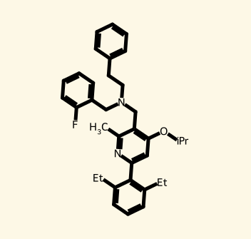 CCc1cccc(CC)c1-c1cc(OC(C)C)c(CN(CCc2ccccc2)Cc2ccccc2F)c(C)n1